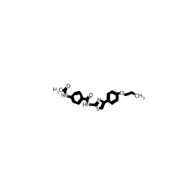 CCCOc1ccc(-c2csc(NC(=O)c3ccc(NC(C)=O)cc3)n2)cc1